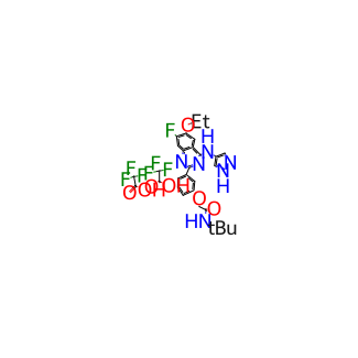 CCOc1cc2c(Nc3cn[nH]c3)nc(-c3cccc(OCC(=O)NC(C)(C)C)c3)nc2cc1F.O=C(O)C(F)(F)F.O=C(O)C(F)(F)F